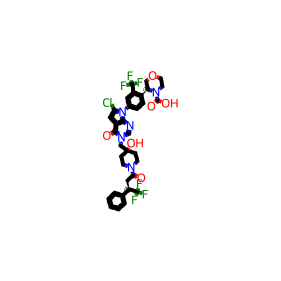 O=C(C[C@H](c1ccccc1)C(F)(F)F)N1CCC(O)(Cn2cnc3c(cc(Cl)n3-c3ccc([C@@H]4COCCN4C(=O)O)c(C(F)(F)F)c3)c2=O)CC1